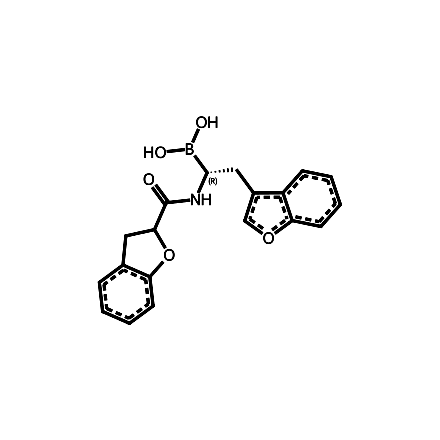 O=C(N[C@@H](Cc1coc2ccccc12)B(O)O)C1Cc2ccccc2O1